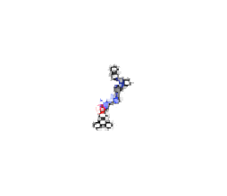 c1cc(-c2cnc3oc4cc5c6ccccc6c6ccccc6c5cc4c3c2)nc(-c2ccc3c(c2)c2ccccc2n3-c2ccc3ccccc3c2)c1